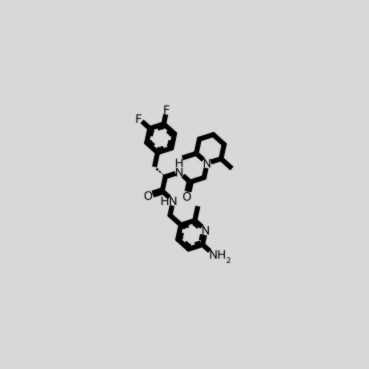 Cc1nc(N)ccc1CNC(=O)[C@H](Cc1ccc(F)c(F)c1)NC(=O)CN1C(C)CCCC1C